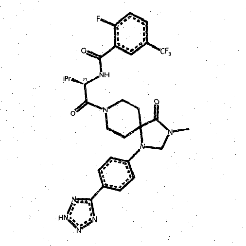 CC(C)[C@@H](NC(=O)c1cc(C(F)(F)F)ccc1F)C(=O)N1CCC2(CC1)C(=O)N(C)CN2c1ccc(-c2nn[nH]n2)cc1